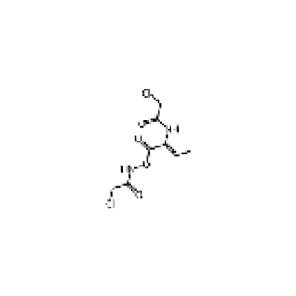 CC=C(NC(=O)CCl)C(=O)ONC(=O)CCl